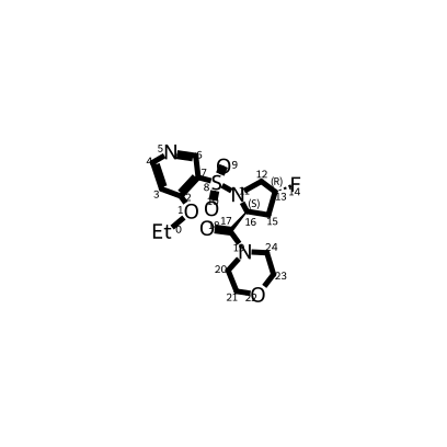 CCOc1ccncc1S(=O)(=O)N1C[C@H](F)C[C@H]1C(=O)N1CCOCC1